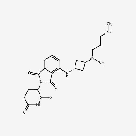 CNCCCN(C)[C@H]1C[C@H](Nc2cccc3c2C(=O)N(C2CCC(=O)NC2=O)C3=O)C1